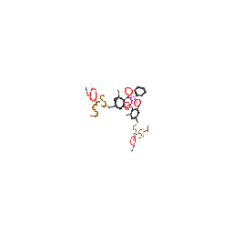 CCOC(=S)SCc1cc(C)c(C(=O)P(=O)(C(=O)c2c(C)cc(CSC(S)OCC)cc2C)c2ccccc2)c(C)c1